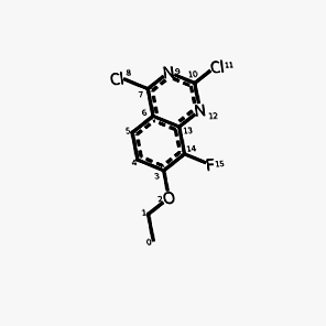 CCOc1ccc2c(Cl)nc(Cl)nc2c1F